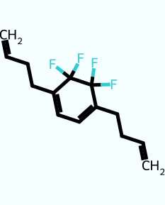 C=CCCC1=CC=C(CCC=C)C(F)(F)C1(F)F